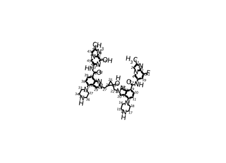 Cc1cn2cc(NC(=O)c3ccc(N4CCNCC4)c4cn(CC5(O)CC5Cn5cc6c(N7CCNCC7)ccc(C(=O)Nc7cn8cc(C)nc8c(O)n7)c6n5)nc34)cc(F)c2n1